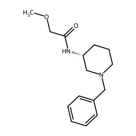 COCC(=O)N[C@@H]1CCCN(Cc2ccccc2)C1